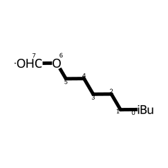 CCC(C)CCCCCO[C]=O